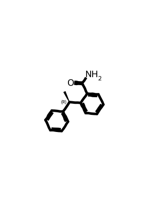 C[C@H](c1ccccc1)c1ccccc1C(N)=O